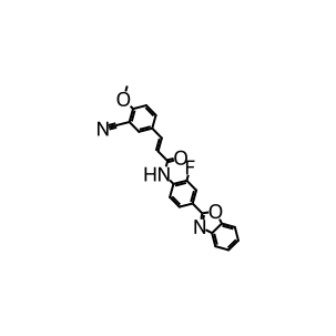 COc1ccc(C=CC(=O)Nc2ccc(-c3nc4ccccc4o3)cc2F)cc1C#N